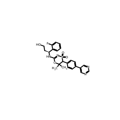 CC1(C)OC(N[C@@H](CCO)c2ccccc2F)=NS(=O)(=O)C1c1ccc(-c2cncnc2)cc1